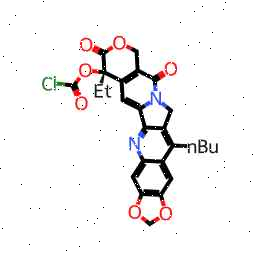 CCCCc1c2c(nc3cc4c(cc13)OCO4)-c1cc3c(c(=O)n1C2)COC(=O)[C@@]3(CC)OC(=O)Cl